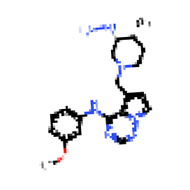 COc1cccc(Nc2ncnn3ccc(CN4CC[C@@H](C)[C@@H](NN)C4)c23)c1